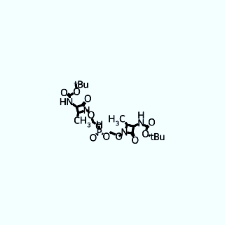 CC1C(NC(=O)OC(C)(C)C)C(=O)N1OCO[PH](=O)OCON1C(=O)C(NC(=O)OC(C)(C)C)C1C